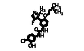 CN(C)CCOc1ccc(NC(=O)Nc2ccc(Cl)c(O)c2)cc1-c1c(F)cnn1C